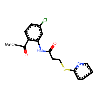 COC(=O)c1ccc(Cl)cc1NC(=O)CCSc1ccccn1